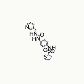 O=C(NCc1cccnc1)Nc1ccc(NS(=O)(=O)C2CC=CS2)cc1